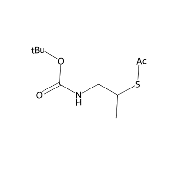 CC(=O)SC(C)CNC(=O)OC(C)(C)C